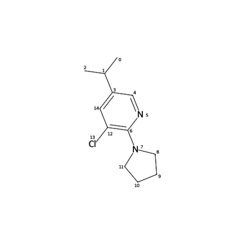 CC(C)c1cnc(N2CCCC2)c(Cl)c1